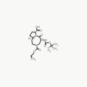 C=CCOC(=O)N1CC[C@H]2CC[C@@H](C(=O)O)N2C(=O)[C@@H](NC(=O)OC(C)(C)C)C1